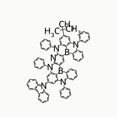 CC(C)(C)c1cc2c3c(c1)N(c1ccccc1)c1nc4c(cc1B3c1ccccc1N2c1ccccc1)B1c2ccccc2N(c2ccccc2)c2cc(-n3c5ccccc5c5ccccc53)cc(c21)N4c1ccccc1